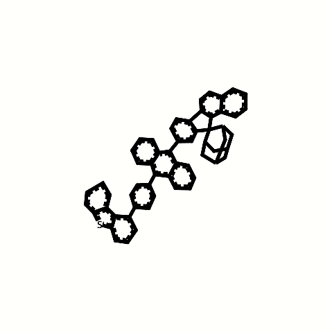 c1ccc2c3c(ccc2c1)-c1ccc(-c2c4ccccc4c(-c4ccc(-c5cccc6sc7ccccc7c56)cc4)c4ccccc24)cc1C31C2CC3CC(C2)CC1C3